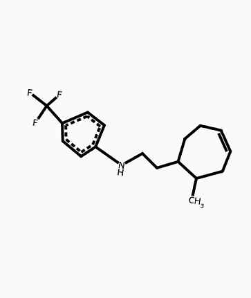 CC1CC=CCCC1CCNc1ccc(C(F)(F)F)cc1